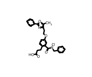 Cc1oc(-c2ccccc2)nc1CCOc1ccc(CCC(=O)O)c(C(=O)N(Cl)Cc2ccccc2)c1